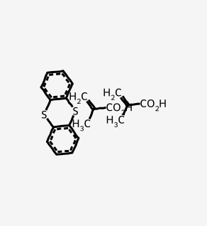 C=C(C)C(=O)O.C=C(C)C(=O)O.c1ccc2c(c1)Sc1ccccc1S2